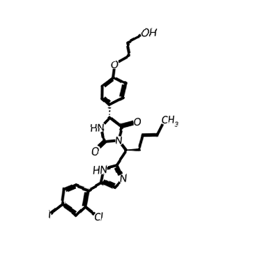 CCCC[C@@H](c1ncc(-c2ccc(I)cc2Cl)[nH]1)N1C(=O)N[C@H](c2ccc(OCCO)cc2)C1=O